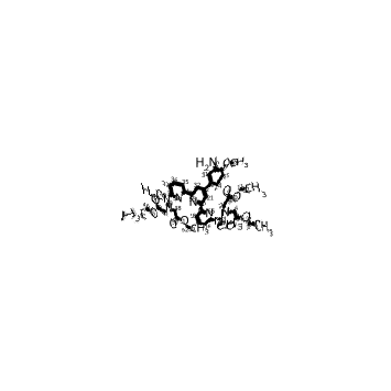 CCOC(=O)CN(CC(=O)OCC)N(C)c1cccc(-c2cc(-c3ccc(OC)c(N)c3)cc(-c3cccc(N(C)N(CC(=O)OCC)CC(=O)OCC)n3)n2)n1